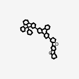 c1ccc(C2(c3ccccc3)c3ccccc3-c3ccc(-c4ccc5c6ccc(-c7ccc8oc9cc%10c(cc9c8c7)oc7ccccc7%10)cc6c6ccccc6c5c4)cc32)cc1